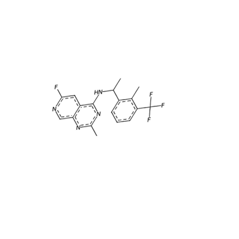 Cc1nc(NC(C)c2cccc(C(F)(F)F)c2C)c2cc(F)ncc2n1